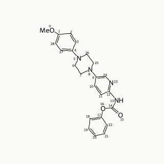 COc1ccc(N2CCN(c3ccc(NC(=O)Oc4ccccc4)nc3)CC2)cc1